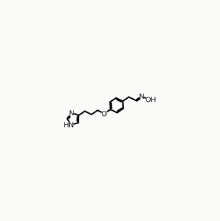 ON=CCc1ccc(OCCCc2c[nH]cn2)cc1